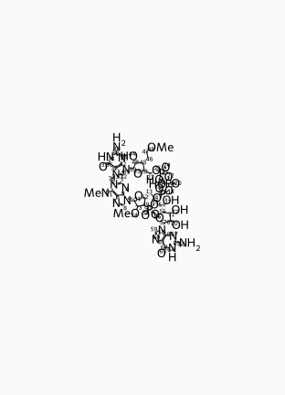 CNc1ncnc2c1ncn2[C@@H]1O[C@H](COP(=O)(O)OP(=O)(O)OP(=O)(O)OC[C@H]2O[C@@H](n3c[n+](C)c4c(=O)[nH]c(N)nc43)[C@H](O)[C@@H]2CCOC)[C@@H](P(=O)([O-])OC[C@H]2O[C@@H](n3cnc4c(=O)[nH]c(N)nc43)[C@H](O)[C@@H]2O)[C@H]1OC